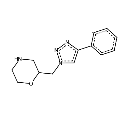 [c]1ccccc1-c1cn(CC2CNCCO2)nn1